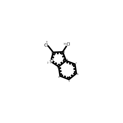 Clc1sc2ccccc2c1Cl